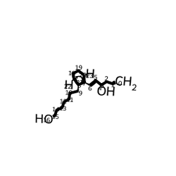 C=CCC(O)C=C[C@H]1[C@@H](CCCCCCCO)[C@H]2CC[C@@H]1O2